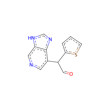 O=CC(c1cccs1)c1cncc2[nH]cnc12